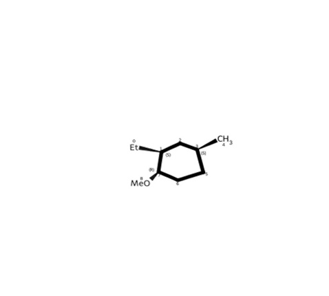 CC[C@H]1C[C@@H](C)CC[C@H]1OC